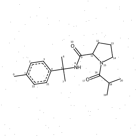 Cc1ccc(C(C)(C)NC(=O)C2CCCN2C(=O)C(C)C)cc1